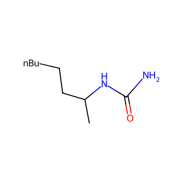 CCCCCCC(C)NC(N)=O